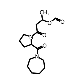 CC(CC(=O)N1CCCC1C(=O)N1CCCCCC1)OC=O